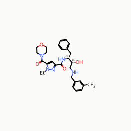 CCn1nc(C(=O)N[C@@H](Cc2ccccc2)[C@H](O)CNCc2cccc(C(F)(F)F)c2)cc1C(=O)N1CCOCC1